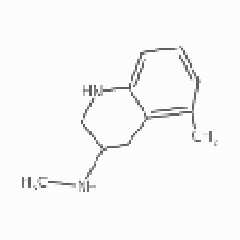 CNC1CNc2cccc(C)c2C1